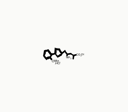 CCOC(=O)C(C)CC(N)Cc1ccc(-c2ccccc2OC)cc1.Cl